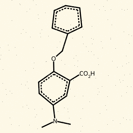 CN(C)c1ccc(OCc2ccccc2)c(C(=O)O)c1